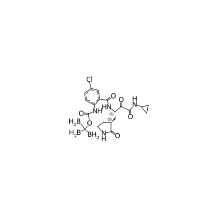 BC(B)(B)OC(=O)Nc1ccc(Cl)cc1C(=O)N[C@@H](C[C@@H]1CCNC1=O)C(=O)C(=O)NC1CC1